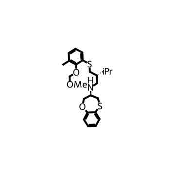 COCOc1c(C)cccc1SC[C@@H](CN[C@@H]1COc2ccccc2SC1)C(C)C